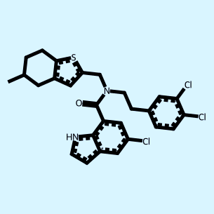 CC1CCc2sc(CN(CCc3ccc(Cl)c(Cl)c3)C(=O)c3cc(Cl)cc4cc[nH]c34)cc2C1